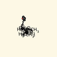 CC(=O)CCC(=O)OCC1OC(n2cc(COCCCCCc3ccc4ccc5cccc6ccc3c4c56)c(=O)[nH]c2=O)C[C@@H]1OP(OCCC#N)N(C(C)C)C(C)C